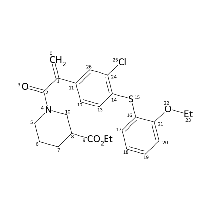 C=C(C(=O)N1CCCC(C(=O)OCC)C1)c1ccc(Sc2ccccc2OCC)c(Cl)c1